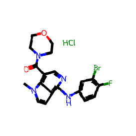 Cl.Cn1ccc2c(Nc3ccc(F)c(Br)c3)ncc(C(=O)N3CCOCC3)c21